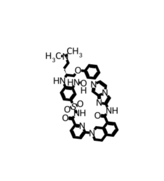 CN(C)CC[C@H](COc1ccccc1)Nc1ccc(S(=O)(=O)NC(=O)c2cccc(N3CCc4cccc(C(=O)Nc5cn6ccncc6n5)c4C3)n2)cc1NO